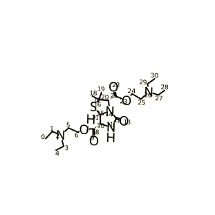 CCN(CC)CCOC(=O)[C@H]1NC(=O)N2[C@@H]1SC(C)(C)[C@@H]2C(=O)OCCN(CC)CC